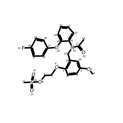 COc1ccc(OCCOS(C)(=O)=O)c(CN(C(C)=O)c2ccccc2Oc2ccc(F)cc2)c1